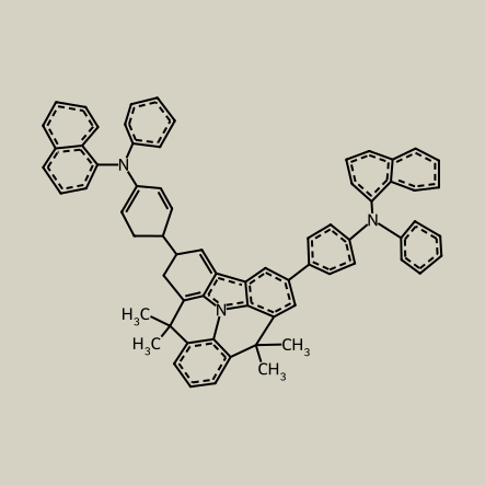 CC1(C)C2=c3c(c4cc(-c5ccc(N(c6ccccc6)c6cccc7ccccc67)cc5)cc5c4n3-c3c1cccc3C5(C)C)=CC(C1C=CC(N(c3ccccc3)c3cccc4ccccc34)=CC1)C2